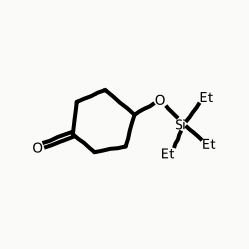 CC[Si](CC)(CC)OC1CCC(=O)CC1